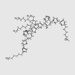 CCCCCCc1ccc(-c2ccc(-c3ccc(-c4cc5c(s4)-c4sc(-c6c(F)cc(-c7ccc(-c8ccc(CCCCCC)s8)s7)c7nsnc67)cc4[Si]5(CC(CC)CCCCCC)CC(CC)CCCCCC)c4nsnc34)s2)s1